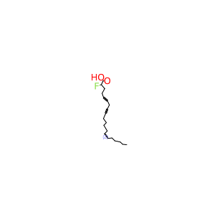 CCCCC/C=C\CCCCC#CCC#CCCC(F)C(=O)O